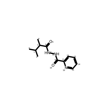 CC(C)C(C)C(=O)NNC(=O)c1ccccn1